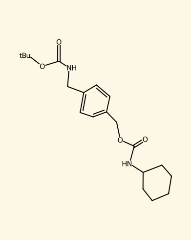 CC(C)(C)OC(=O)NCc1ccc(COC(=O)NC2CCCCC2)cc1